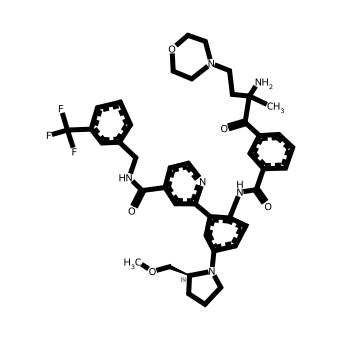 COC[C@@H]1CCCN1c1ccc(NC(=O)c2cccc(C(=O)C(C)(N)CCN3CCOCC3)c2)c(-c2cc(C(=O)NCc3cccc(C(F)(F)F)c3)ccn2)c1